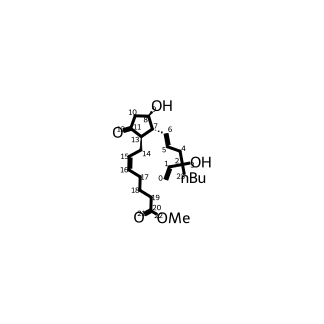 C=CC(O)(C/C=C/[C@H]1[C@H](O)CC(=O)[C@@H]1C/C=C\CCCC(=O)OC)CCCC